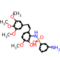 COc1ccc(/C=C\c2cc(OC)c(OC)c(OC)c2)c(NS(=O)(=O)c2cccc(N)c2)c1O